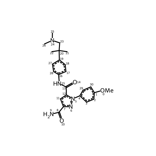 COc1ccc(-n2nc(C(N)=O)cc2C(=O)Nc2ccc(C(C)(C)CN(C)C)cc2)cc1